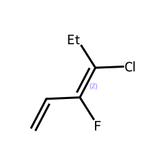 C=C/C(F)=C(/Cl)CC